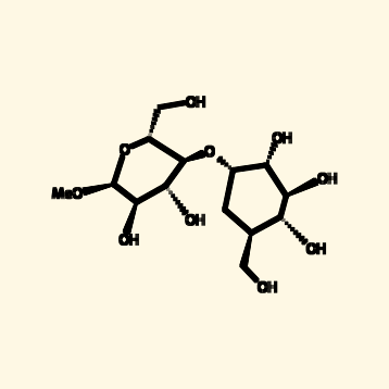 CO[C@H]1O[C@H](CO)[C@@H](O[C@H]2C[C@H](CO)[C@@H](O)[C@H](O)[C@H]2O)[C@H](O)[C@H]1O